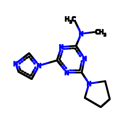 CN(C)c1nc(N2CCCC2)nc(-n2ccnc2)n1